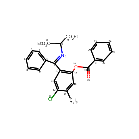 CCOC(=O)C(N=C(c1ccccc1)c1cc(Cl)c(C)cc1OC(=O)c1ccccc1)C(=O)OCC